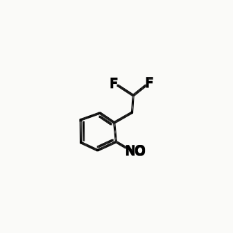 O=Nc1ccccc1CC(F)F